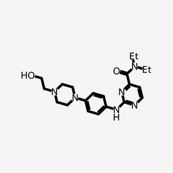 CCN(CC)C(=O)c1ccnc(Nc2ccc(N3CCN(CCO)CC3)cc2)n1